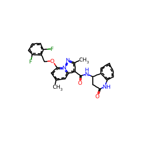 Cc1cc(OCc2c(F)cccc2F)n2nc(C)c(C(=O)NC3CC(=O)Nc4ccccc43)c2c1